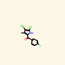 Cc1c(C(=O)c2ccc(F)cc2)[nH]c(Cl)c1Cl